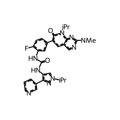 CNc1ncc2cc(-c3ccc(F)c(NC(=O)Nc4cn(C(C)C)nc4-c4cccnc4)c3)c(=O)n(C(C)C)c2n1